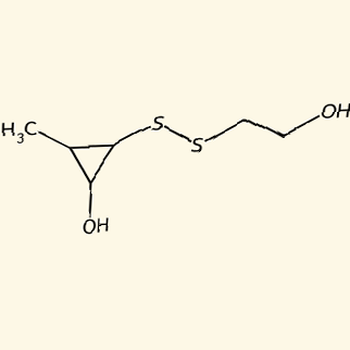 CC1C(O)C1SSCCO